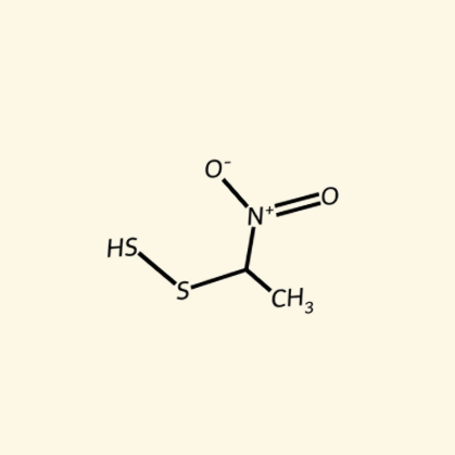 CC(SS)[N+](=O)[O-]